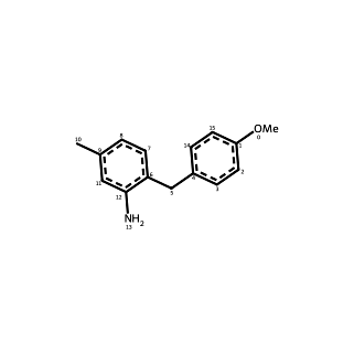 COc1ccc(Cc2ccc(C)cc2N)cc1